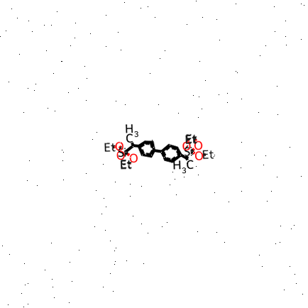 CCO[Si](OCC)(OCC)C(C)c1ccc(-c2ccc(C(C)[Si](OCC)(OCC)OCC)cc2)cc1